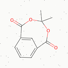 CC1(C)OC(=O)c2cccc(c2)C(=O)O1